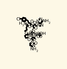 C=CCCC(=O)N(C)C(Cc1ccc(Cl)cc1)C(=O)O[C@H]1[C@@H](O)[C@H](n2cnc3c(N)ncnc32)O[C@H]1COP(=O)(O)O[C@H]1[C@@H](OC2CCCO2)[C@H](n2ccc(N)nc2=O)O[C@@H]1COP(=O)(O)O